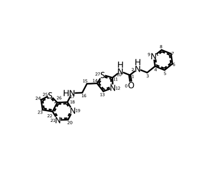 O=C(NCc1ccccn1)Nc1ncc(CCNc2ncnc3ccsc23)s1